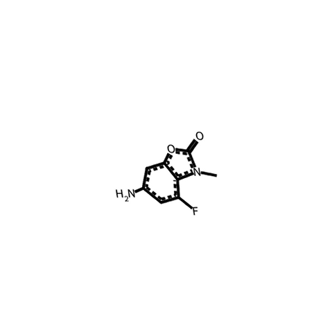 Cn1c(=O)oc2cc(N)cc(F)c21